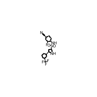 N#Cc1ccc(NS(=O)(=O)c2c[nH]c(-c3cccc(C(F)(F)F)c3)c2)c(F)c1